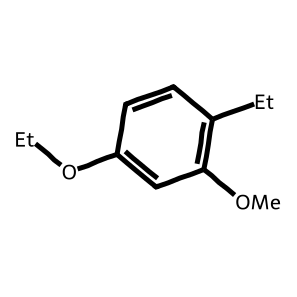 CCOc1ccc(CC)c(OC)c1